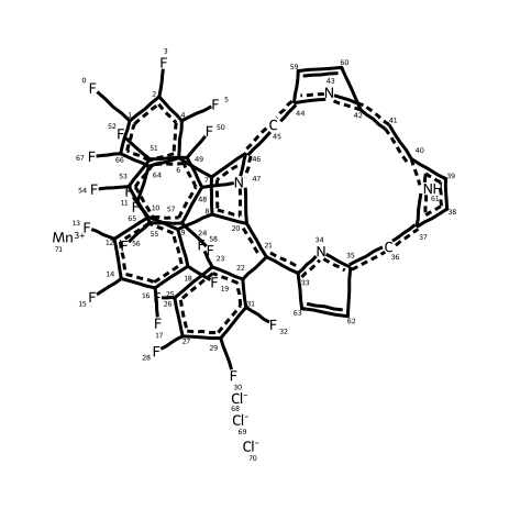 Fc1c(F)c(F)c(-c2c(-c3c(F)c(F)c(F)c(F)c3F)c3c(-c4c(F)c(F)c(F)c(F)c4F)c4nc(cc5ccc(cc6nc(cc2n3-c2c(F)c(F)c(F)c(F)c2F)C=C6)[nH]5)C=C4)c(F)c1F.[Cl-].[Cl-].[Cl-].[Mn+3]